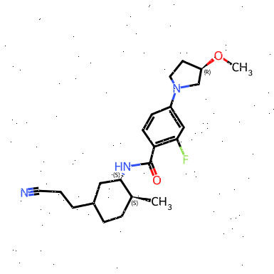 CO[C@@H]1CCN(c2ccc(C(=O)N[C@H]3CC(CCC#N)CC[C@@H]3C)c(F)c2)C1